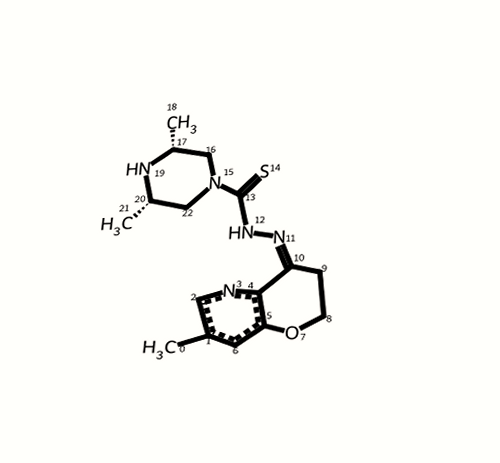 Cc1cnc2c(c1)OCC/C2=N/NC(=S)N1C[C@@H](C)N[C@@H](C)C1